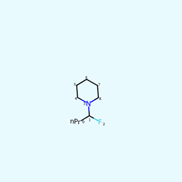 CCCC(F)N1CCCCC1